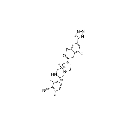 Cc1c([C@H]2CN3CCN(C(=O)Cc4c(F)cc(-n5cnnn5)cc4F)C[C@H]3CN2)ccc(F)c1C#N